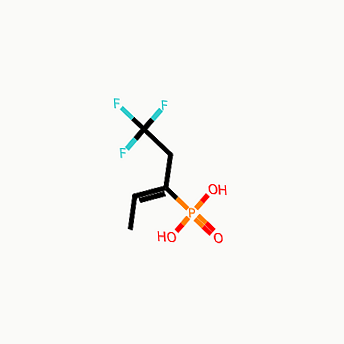 CC=C(CC(F)(F)F)P(=O)(O)O